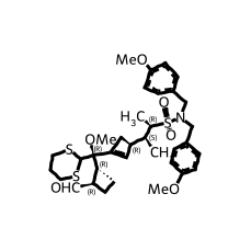 COc1ccc(CN(Cc2ccc(OC)cc2)S(=O)(=O)[C@H](C)[C@@H](C)[C@H]2C=C([C@@](OC)(C3SCCCS3)[C@@H]3CC[C@H]3C=O)C2)cc1